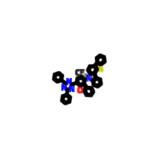 FC(F)(F)c1cc(-c2nc(-c3ccccc3)nc(-c3ccccc3)n2)c2oc3ccccc3c2c1-n1c2ccccc2c2c3sc4ccccc4c3ccc21